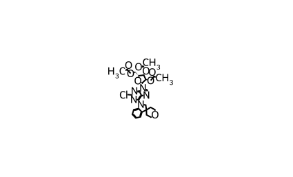 CC(=O)OC[C@H]1O[C@@H](n2cnc3c(N4CC5(CCOCC5)c5ccccc54)nc(Cl)nc32)[C@H](OC(C)=O)[C@@H]1OC(C)=O